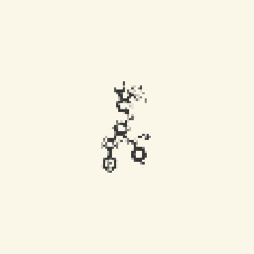 CC1(C)NC(=O)c2ccc(Nc3ncc(-c4nc(C56CCN(CC5)CC6)no4)c(N[C@H](CO)c4ccc(F)cc4)n3)nc21